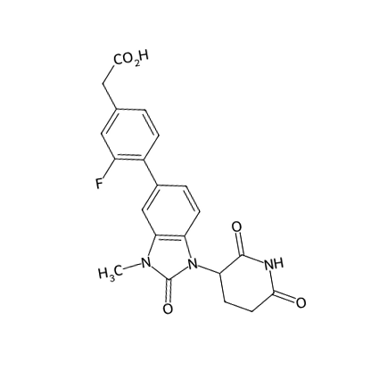 Cn1c(=O)n(C2CCC(=O)NC2=O)c2ccc(-c3ccc(CC(=O)O)cc3F)cc21